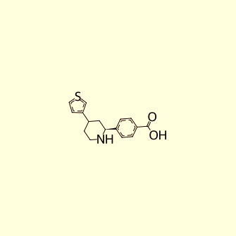 O=C(O)c1ccc([C@@H]2CC(c3ccsc3)CCN2)cc1